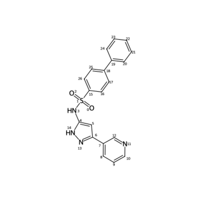 O=S(=O)(Nc1cc(-c2cccnc2)n[nH]1)c1ccc(-c2ccccc2)cc1